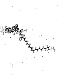 CCCCCCCC/C=C\CCCCCCCC(=O)OCC(O)COP(=O)(O)OCC[N+](C)(C)C